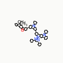 CC1(C)c2ccccc2-c2cc3oc4ccc(-c5ccc6c(c5)c5cc(-c7ccc8c(c7)c7cc9c(cc7n8-c7nc(-c8ccccc8)cc(-c8ccccc8)n7)c7ccccc7n9-c7ccccc7)ccc5n6-c5ccccc5)cc4c3cc21